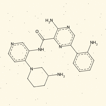 Nc1ccccc1-c1cnc(N)c(C(=O)Nc2cnccc2N2CCCC(N)C2)n1